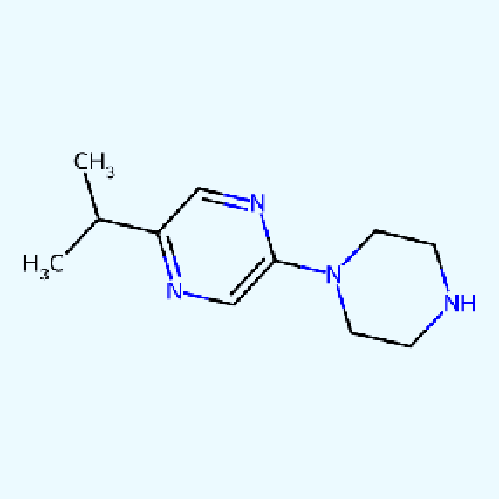 CC(C)c1cnc(N2CCNCC2)cn1